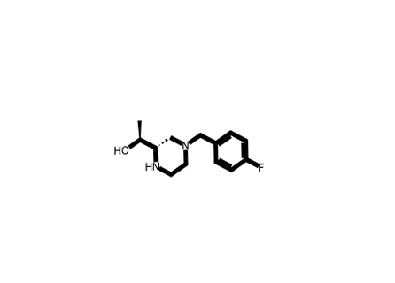 C[C@H](O)[C@@H]1CN(Cc2ccc(F)cc2)CCN1